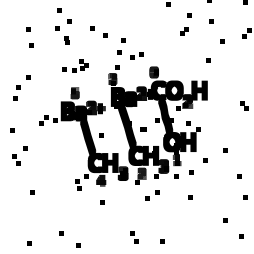 O=C(O)O.[CH3][Ba+2].[CH3][Ba+2]